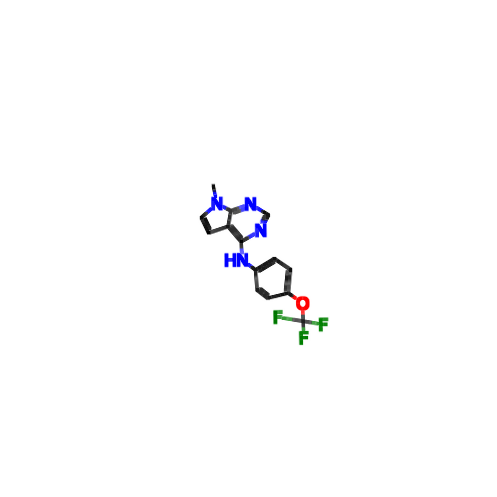 Cn1ccc2c(Nc3ccc(OC(F)(F)F)cc3)ncnc21